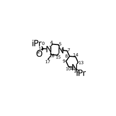 CC(C)C(=O)N1CCN(CC2CCN(C(C)C)CC2)C[C@H]1C